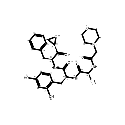 C[C@H](NC(=O)CN1CCOCC1)C(=O)N[C@@H](Cc1ccc(O)cc1O)C(=O)N[C@@H](Cc1ccccc1)C(=O)[C@H]1CO1